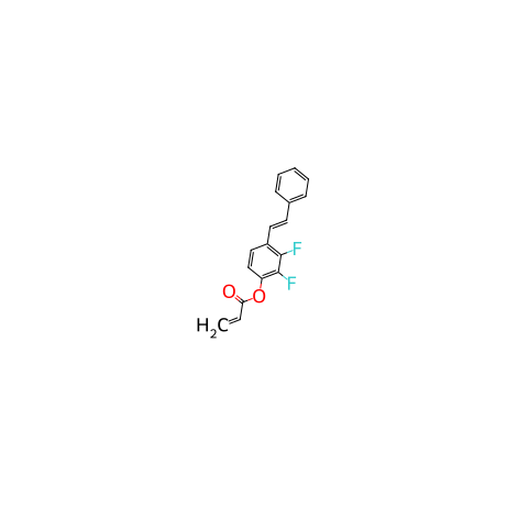 C=CC(=O)Oc1ccc(C=Cc2ccccc2)c(F)c1F